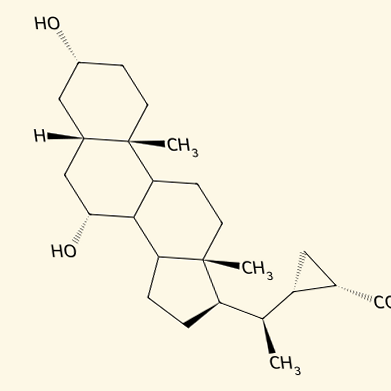 C[C@H]([C@@H]1C[C@@H]1C(=O)O)[C@H]1CCC2C3C(CC[C@@]21C)[C@@]1(C)CC[C@@H](O)C[C@H]1C[C@H]3O